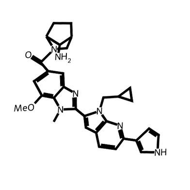 COc1cc(C(=O)N2CC3CCC2C3N)cc2nc(-c3cc4ccc(-c5cc[nH]c5)nc4n3CC3CC3)n(C)c12